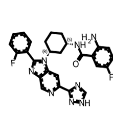 Nc1ccc(F)cc1C(=O)N[C@H]1CCC[C@@H](n2c(-c3ccccc3F)nc3cnc(-c4nc[nH]n4)cc32)C1